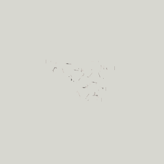 CN(C)c1cccc(-c2nc3ccc(C(=O)O)cc3nc2-c2cccc(N(C)C)c2)c1